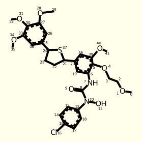 COCCOc1c(NC(=O)N(O)c2ccc(Cl)cc2)cc(C2CCC(c3cc(OC)c(OC)c(OC)c3)S2)cc1OC